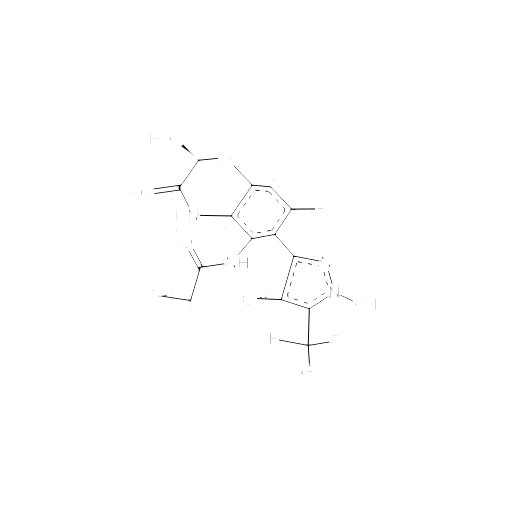 C[C@H]1Oc2cc(F)c(-c3nn(C)c(C(F)(F)F)c3Cl)c(NC(=O)CCl)c2NC1=O